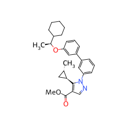 COC(=O)c1cnn(-c2cccc(-c3cccc(O[C@@H](C)C4CCCCC4)c3)c2)c1[C@H]1C[C@@H]1C